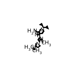 CN(C)[C@H]1CCN(c2cc(-n3nc(N)c4c3C=CN(C(C3CC3)C3CC3)C4)nn2C)C1